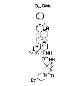 CCC1CCN(C(=O)[C@H]2C[C@@H](NC(=O)N[C@]34CC[C@@H](C5(C)CC5)C3[C@H]3CCC5[C@@]6(C)CC=C(c7ccc(C(=O)OC)cc7)C(C)(C)[C@@H]6CC[C@@]5(C)[C@]3(C)CC4)C2(C)C)CC1